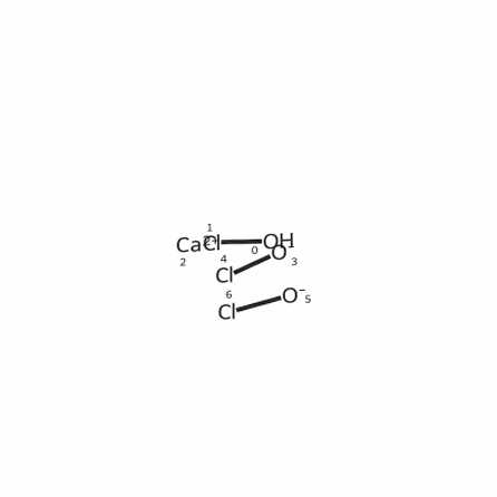 OCl.[Ca+2].[O-]Cl.[O-]Cl